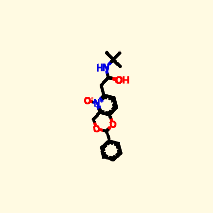 CC(C)(C)NC(O)Cc1ccc2c([n+]1[O-])COC(c1ccccc1)O2